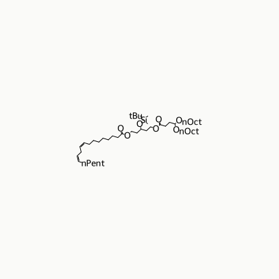 CCCCC/C=C\C/C=C\CCCCCCCC(=O)OCCC(CCOC(=O)CCC(OCCCCCCCC)OCCCCCCCC)O[Si](C)(C)C(C)(C)C